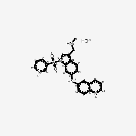 CNCc1cn(S(=O)(=O)c2cccnc2)c2cc(Nc3ccc4ncccc4c3)ccc12.Cl